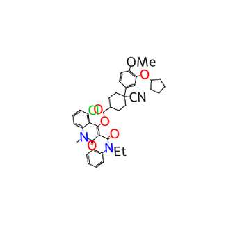 CCN(C(=O)c1c(OC(=O)C2CCC(C#N)(c3ccc(OC)c(OC4CCCC4)c3)CC2)c2c(Cl)cccc2n(C)c1=O)c1ccccc1